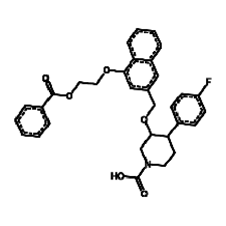 O=C(OCCOc1cc(COC2CN(C(=O)O)CCC2c2ccc(F)cc2)cc2ccccc12)c1ccccc1